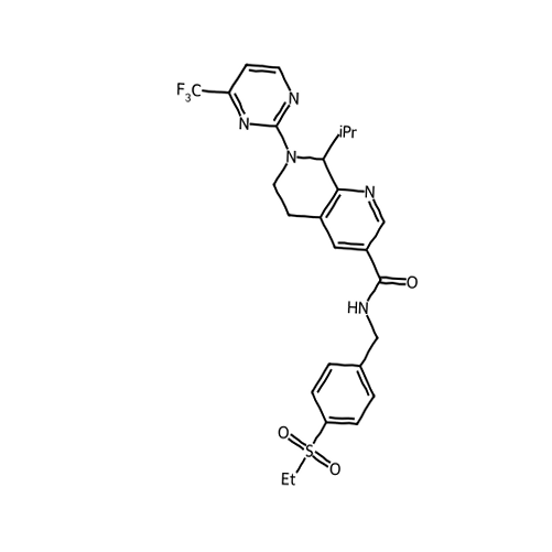 CCS(=O)(=O)c1ccc(CNC(=O)c2cnc3c(c2)CCN(c2nccc(C(F)(F)F)n2)C3C(C)C)cc1